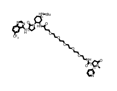 CN1C(=O)C[C@H](C(=O)NCCOCCOCCOCCOCCOCCC(=O)N[C@@H]2C[C@H](NC(C)(C)C)CCC2N2CC[C@H](Nc3ncnc4ccc(C(F)(F)F)cc34)C2=O)[C@H]1c1cccnc1